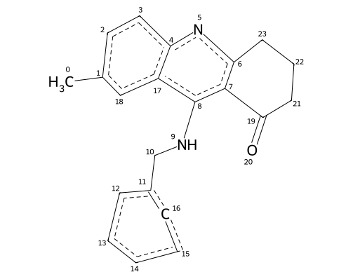 Cc1ccc2nc3c(c(NCc4ccccc4)c2c1)C(=O)CCC3